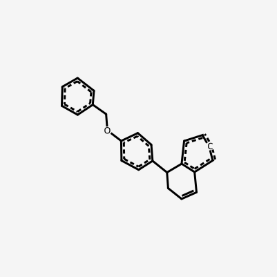 C1=Cc2ccccc2C(c2ccc(OCc3ccccc3)cc2)C1